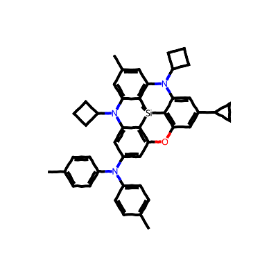 Cc1ccc(N(c2ccc(C)cc2)c2cc3c4c(c2)N(C2CCC2)c2cc(C)cc5c2[Si]4(C)c2c(cc(C4CC4)cc2N5C2CCC2)O3)cc1